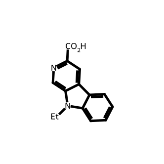 CCn1c2ccccc2c2cc(C(=O)O)ncc21